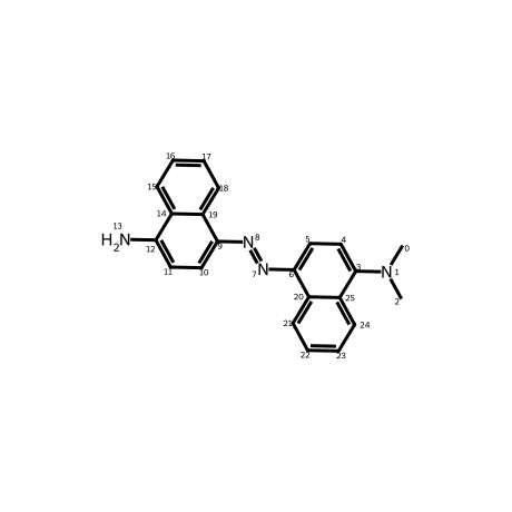 CN(C)c1ccc(/N=N/c2ccc(N)c3ccccc23)c2ccccc12